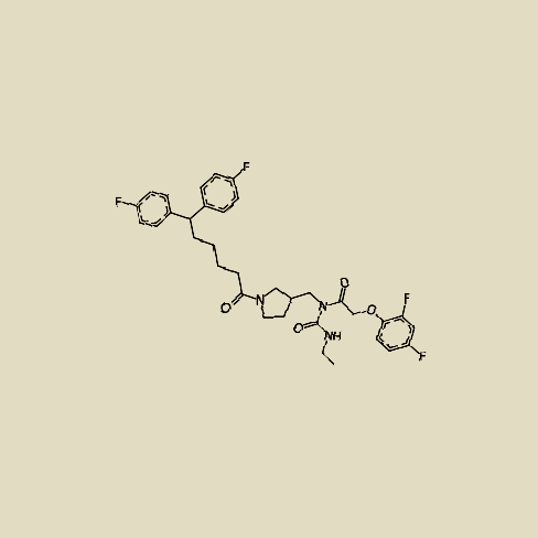 CCNC(=O)N(CC1CCN(C(=O)CCCCC(c2ccc(F)cc2)c2ccc(F)cc2)C1)C(=O)COc1ccc(F)cc1F